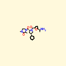 CC(N)c1ccc(C(=O)N2C[C@@H](c3ccccc3)C[C@H]2C(=O)N2CCN(C)C(=O)C2C)o1